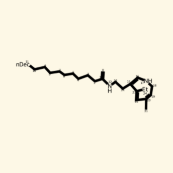 C=C(CCCCCCCCCCCCCCCCCCC)NCCC1=C\NC\C=C(C)/C=C/1CC